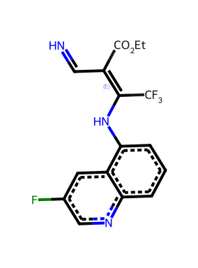 CCOC(=O)/C(C=N)=C(/Nc1cccc2ncc(F)cc12)C(F)(F)F